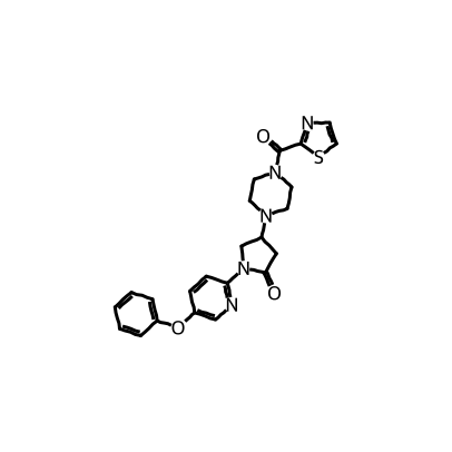 O=C(c1nccs1)N1CCN(C2CC(=O)N(c3ccc(Oc4ccccc4)cn3)C2)CC1